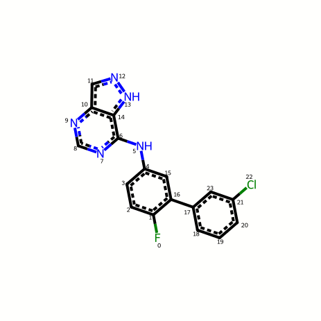 Fc1ccc(Nc2ncnc3cn[nH]c23)cc1-c1cccc(Cl)c1